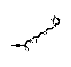 CC#CC(=O)CNCCCOCCn1ccnn1